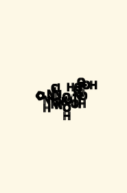 O=P(O)(O)CS(=O)(=O)NC[C@H]1O[C@@H](n2nnc3c(NC4CCCC4)nc(Cl)nc32)[C@H](O)[C@@H]1O